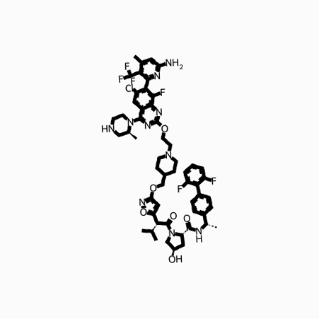 Cc1cc(N)nc(-c2c(Cl)cc3c(N4CCNC[C@@H]4C)nc(OCCN4CCC(COc5cc([C@H](C(=O)N6C[C@H](O)C[C@H]6C(=O)N[C@@H](C)c6ccc(-c7c(F)cccc7F)cc6)C(C)C)on5)CC4)nc3c2F)c1C(F)(F)F